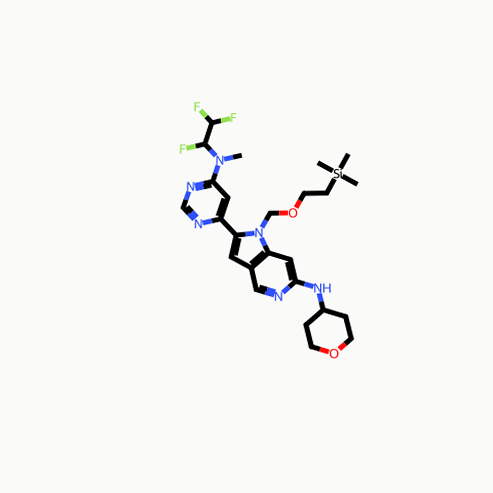 CN(c1cc(-c2cc3cnc(NC4CCOCC4)cc3n2COCC[Si](C)(C)C)ncn1)C(F)C(F)F